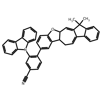 CC1(C)C2=CC3Oc4ccc(-c5ccc(C#N)cc5-n5c6ccccc6c6ccccc65)cc4C3CC=C2c2ccccc21